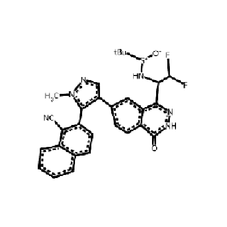 Cn1ncc(-c2ccc3c(=O)[nH]nc(C(N[S+]([O-])C(C)(C)C)C(F)F)c3c2)c1-c1ccc2ccccc2c1C#N